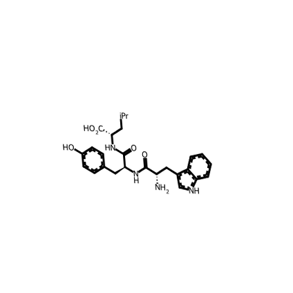 CC(C)C[C@H](NC(=O)[C@H](Cc1ccc(O)cc1)NC(=O)[C@@H](N)Cc1c[nH]c2ccccc12)C(=O)O